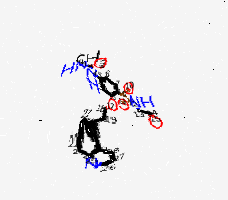 CNC(=O)Nc1ccc(S(=O)(=O)NCC=O)c(OCCc2cccc3ncccc23)c1